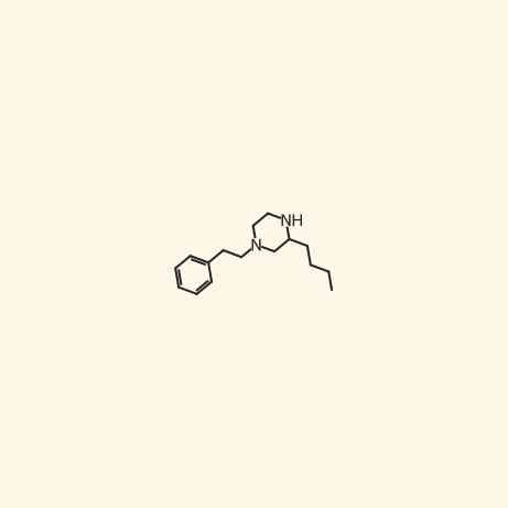 CCCCC1CN(CCc2ccccc2)CCN1